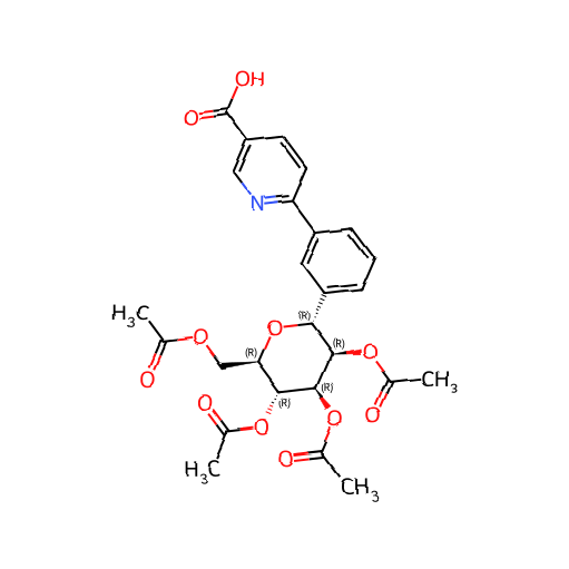 CC(=O)OC[C@H]1O[C@H](c2cccc(-c3ccc(C(=O)O)cn3)c2)[C@@H](OC(C)=O)[C@@H](OC(C)=O)[C@@H]1OC(C)=O